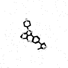 Cc1no[c]c1-c1ccc(-c2nn(C3CCNCC3)c3ncnc(N)c23)cc1